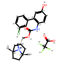 C[N+]1(C)[C@@H]2CC[C@H]1C[C@@H](COC(=O)Nc1ccc(O)cc1-c1cccc(Cl)c1)C2.O=C([O-])C(F)(F)F